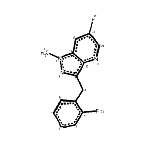 Cn1nc(Cc2ccccc2F)c2ncc(F)cc21